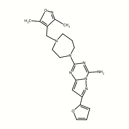 Cc1noc(C)c1CN1CCCN(c2nc(N)n3nc(-c4ccco4)cc3n2)CC1